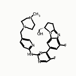 CN1CCN(Cc2ccc(Nc3ncc(F)c(-c4cc(F)c5nc6n(c5c4)[C@H](CO)CC6)n3)nc2)CC1